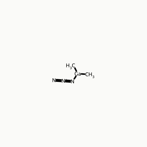 [CH3][Ga]([CH3])[N]=[N+]=[N-]